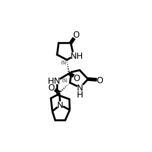 O=C1CC[C@@H](C(=O)NC2CC3CCC(C2)N3C(=O)[C@@H]2CCC(=O)N2)N1